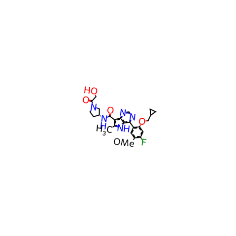 COc1cc(-c2ncnc3c(C(=O)N[C@@H]4CCN(C(=O)CO)C4)c(C)[nH]c23)c(OCC2CC2)cc1F